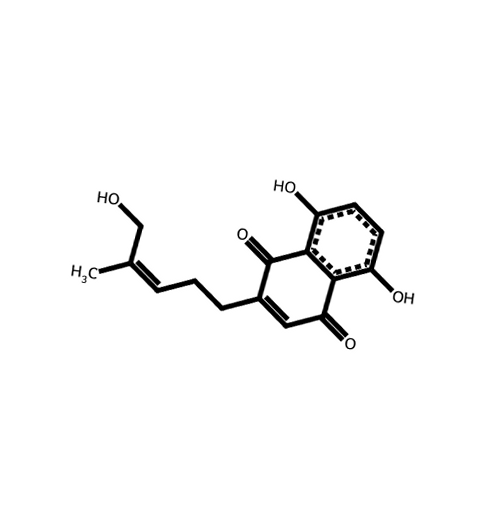 CC(=CCCC1=CC(=O)c2c(O)ccc(O)c2C1=O)CO